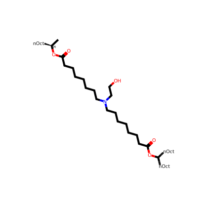 CCCCCCCCC(CCCCCCCC)OC(=O)CCCCCCCN(CCO)CCCCCCCC(=O)O[C@H](C)CCCCCCCC